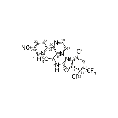 CC(Nc1nc2c(Cl)cc(C(F)(F)F)c(Cl)c2o1)c1nccnc1-c1ccc(C#N)cn1